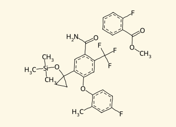 COC(=O)c1ccccc1F.Cc1cc(F)ccc1Oc1cc(C(F)(F)F)c(C(N)=O)cc1C1(O[Si](C)(C)C)CC1